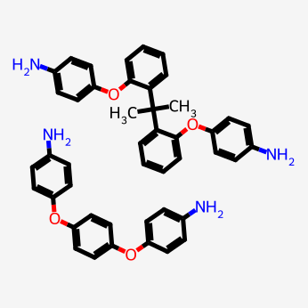 CC(C)(c1ccccc1Oc1ccc(N)cc1)c1ccccc1Oc1ccc(N)cc1.Nc1ccc(Oc2ccc(Oc3ccc(N)cc3)cc2)cc1